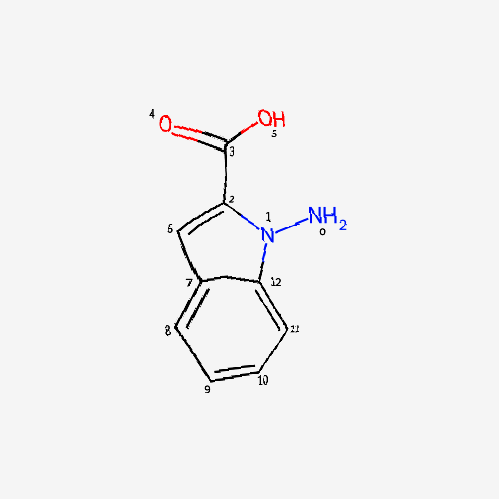 Nn1c(C(=O)O)cc2ccccc21